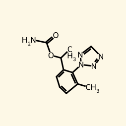 Cc1cccc(C(C)OC(N)=O)c1-n1ncnn1